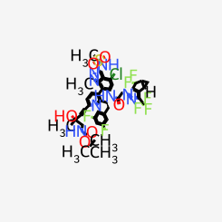 Cn1nc(NS(C)(=O)=O)c2c(Cl)ccc(-c3ccc(C#CC(C)(O)CNC(=O)OC(C)(C)C)nc3[C@H](Cc3cc(F)cc(F)c3)NC(=O)Cn3nc(C(F)(F)F)c4c3C(F)(F)C3C[C@H]43)c21